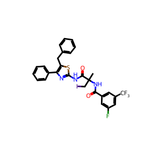 CC(CI)(NC(=O)c1cc(F)cc(C(F)(F)F)c1)C(=O)Nc1nc(-c2ccccc2)c(Cc2ccccc2)s1